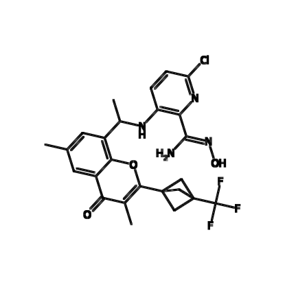 Cc1cc(C(C)Nc2ccc(Cl)nc2C(N)=NO)c2oc(C34CC(C(F)(F)F)(C3)C4)c(C)c(=O)c2c1